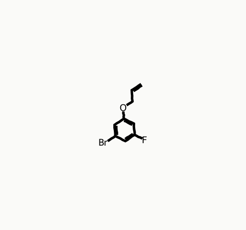 C=CCOc1cc(F)cc(Br)c1